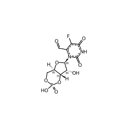 O=Cc1c(F)c(=O)[nH]c(=O)n1[C@@H]1O[C@@H]2COP(=O)(O)O[C@H]2[C@H]1O